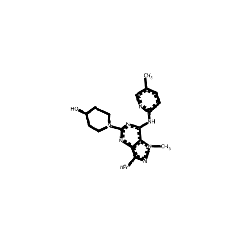 CCCc1nn(C)c2c(Nc3ccc(C)cn3)nc(N3CCC(O)CC3)nc12